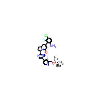 CC(C)(C)[Si](C)(C)OCc1nccc(-c2cnc([C@@H]3CCC4CC(c5c(N)ccc(Cl)c5F)=CC(=O)N43)[nH]2)c1F